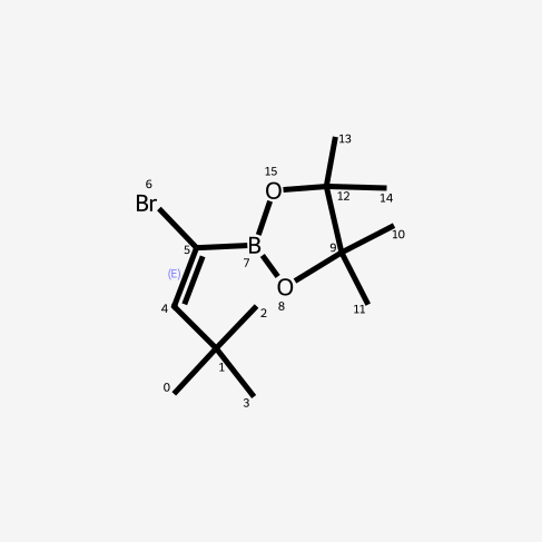 CC(C)(C)/C=C(/Br)B1OC(C)(C)C(C)(C)O1